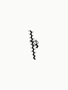 C=CC(=O)OOC.CCCCCCCCCCCCCCCCCC